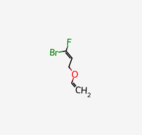 C=COCC=C(F)Br